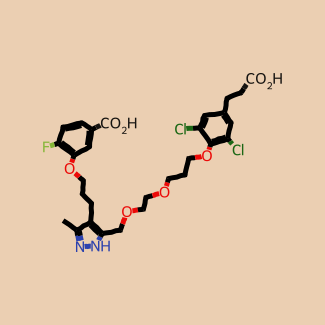 Cc1n[nH]c(COCCOCCCOc2c(Cl)cc(CCC(=O)O)cc2Cl)c1CCCOc1cc(C(=O)O)ccc1F